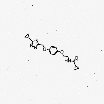 O=C(NCCOc1ccc(OCc2nnc(C3CC3)s2)cc1)C1CC1